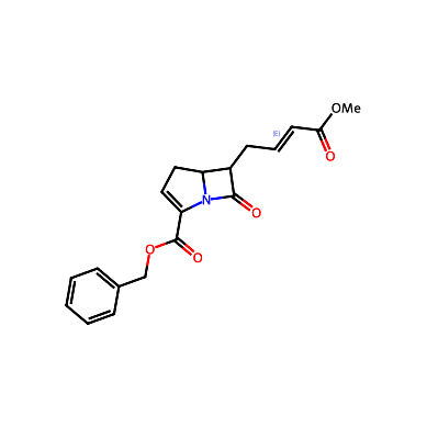 COC(=O)/C=C/CC1C(=O)N2C(C(=O)OCc3ccccc3)=CCC12